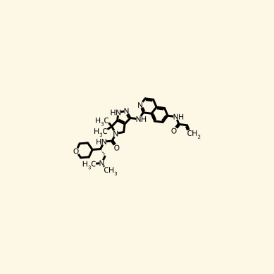 C=CC(=O)Nc1ccc2c(Nc3n[nH]c4c3CN(C(=O)N[C@H](CN(C)C)C3CCOCC3)C4(C)C)nccc2c1